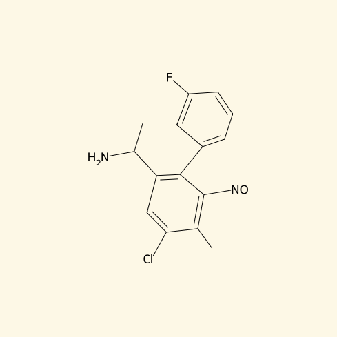 Cc1c(Cl)cc(C(C)N)c(-c2cccc(F)c2)c1N=O